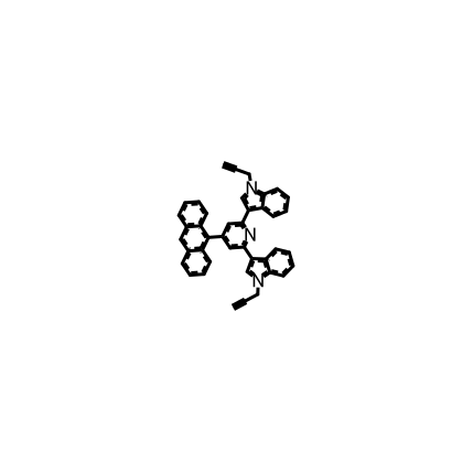 C#CCn1cc(-c2cc(-c3c4ccccc4cc4ccccc34)cc(-c3cn(CC#C)c4ccccc34)n2)c2ccccc21